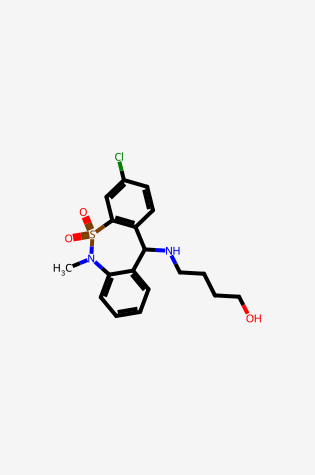 CN1c2ccccc2C(NCCCCO)c2ccc(Cl)cc2S1(=O)=O